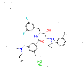 CCc1cccc(C2(NC[C@@H](O)[C@H](Cc3cc(F)cc(F)c3)NC(=O)c3cc(C)cc(CN(C)CCC(C)C)c3)CC2)c1.Cl.Cl